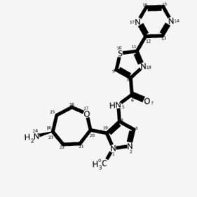 Cn1ncc(NC(=O)c2csc(-c3cnccn3)n2)c1C1CC[C@@H](N)CCO1